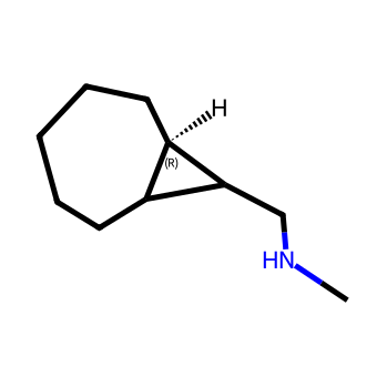 CNCC1C2CCCCC[C@H]21